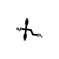 CCCC(C)(C#N)C#N